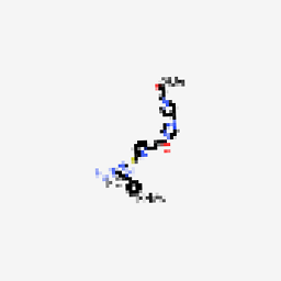 COC(=O)CCN1CCC(CN2CCN(C(=O)CCc3cccc(CSc4nc(N)c(C#N)c(-c5ccc(NC(C)=O)cc5)n4)n3)CC2)CC1